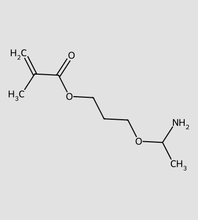 C=C(C)C(=O)OCCCOC(C)N